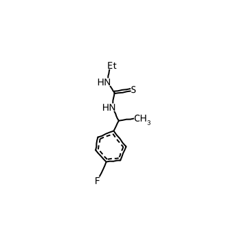 CCNC(=S)NC(C)c1ccc(F)cc1